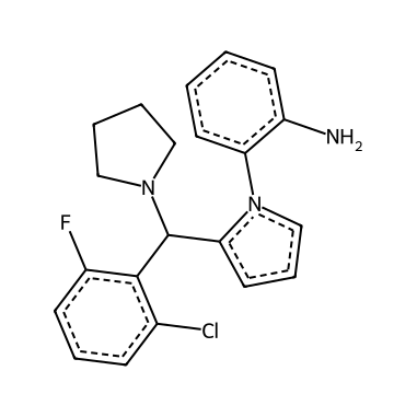 Nc1ccccc1-n1cccc1C(c1c(F)cccc1Cl)N1CCCC1